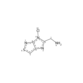 NCc1nc2csnc2n1Cl